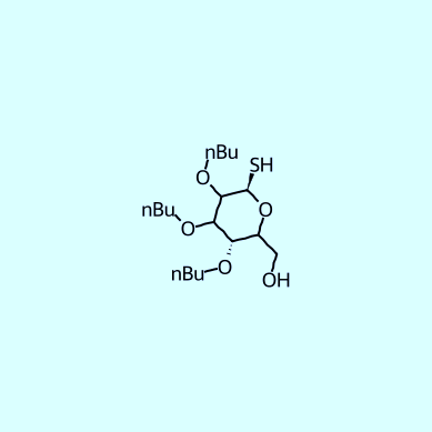 CCCCOC1C(OCCCC)[C@@H](S)OC(CO)[C@@H]1OCCCC